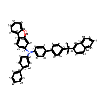 CC(C)(c1ccc(-c2ccc(N(c3ccc(-c4ccccc4)cc3)c3ccc4c(c3)oc3ccccc34)cc2)cc1)c1ccc2ccccc2c1